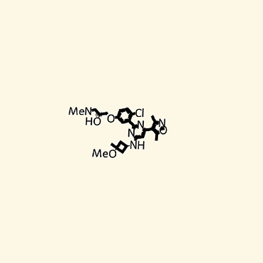 CNC[C@@H](O)COc1ccc(Cl)c(-c2nc(N[C@H]3C[C@@](C)(OC)C3)cc(-c3c(C)noc3C)n2)c1